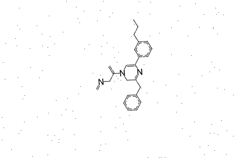 C=NCC(=C)N1C=C(c2cccc(CCC)c2)N=C(Cc2ccccc2)C1